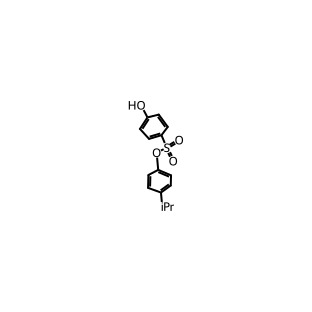 CC(C)c1ccc(OS(=O)(=O)c2ccc(O)cc2)cc1